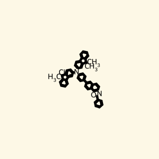 CC1(C)c2ccccc2-c2cc(N(c3ccc(-c4ccc5c(ccc6nc(-c7ccccc7)oc65)c4)cc3)c3ccc4c(c3)C(C)(C)c3ccccc3-4)ccc21